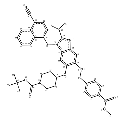 COC(=O)c1ccc(CNc2cc3nc(C(C)C)n(Cc4ccc(C#N)c5ccccc45)c3cc2OC2CCN(C(=O)OC(C)(C)C)CC2)cc1